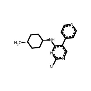 C[C@H]1CC[C@@H](Nc2nc(Cl)ncc2-c2ccncc2)CC1